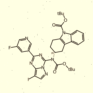 CC(C)(C)OC(=O)N(c1nc(-c2cncc(F)c2)nc2c(I)cnn12)[C@@H]1CCc2c(c3ccccc3n2C(=O)OC(C)(C)C)C1